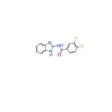 O=C(Nc1nc2ccccc2[nH]1)c1ccc(F)c(F)c1